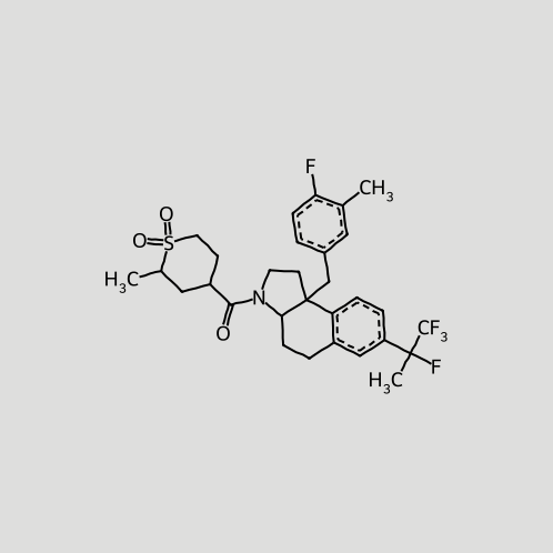 Cc1cc(CC23CCN(C(=O)C4CCS(=O)(=O)C(C)C4)C2CCc2cc(C(C)(F)C(F)(F)F)ccc23)ccc1F